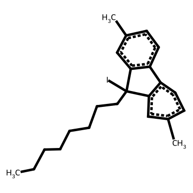 CCCCCCCCC1(I)c2cc(C)ccc2-c2ccc(C)cc21